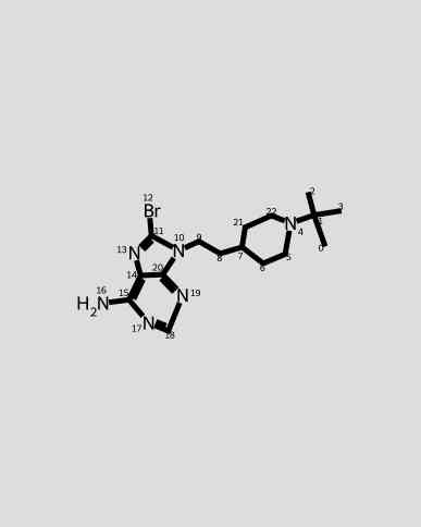 CC(C)(C)N1CCC(CCn2c(Br)nc3c(N)ncnc32)CC1